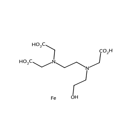 O=C(O)CN(CCO)CCN(CC(=O)O)CC(=O)O.[Fe]